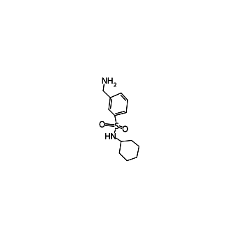 NCc1cccc(S(=O)(=O)NC2CCCCC2)c1